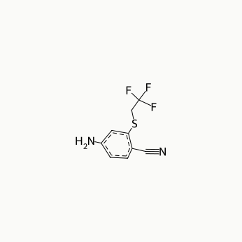 N#Cc1ccc(N)cc1SCC(F)(F)F